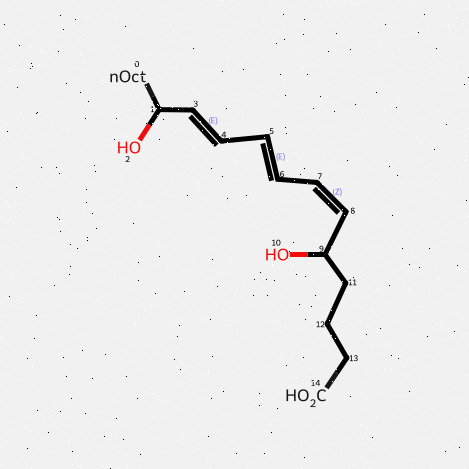 CCCCCCCCC(O)/C=C/C=C/C=C\C(O)CCCC(=O)O